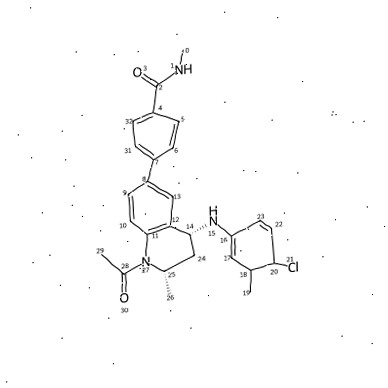 CNC(=O)c1ccc(-c2ccc3c(c2)[C@H](NC2=CC(C)C(Cl)C=C2)C[C@H](C)N3C(C)=O)cc1